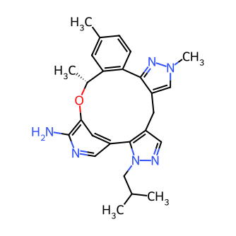 Cc1ccc2c(c1)[C@@H](C)Oc1cc(cnc1N)-c1c(cnn1CC(C)C)Cc1cn(C)nc1-2